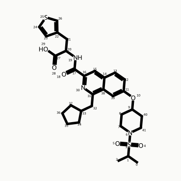 CC(C)S(=O)(=O)N1CCC(Oc2ccc3cc(C(=O)NC(Cc4ccsc4)C(=O)O)nc(CC4CCCC4)c3c2)CC1